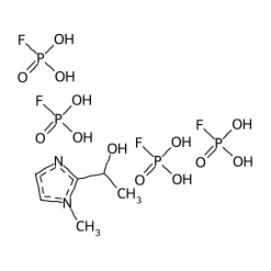 CC(O)c1nccn1C.O=P(O)(O)F.O=P(O)(O)F.O=P(O)(O)F.O=P(O)(O)F